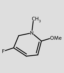 COC1=CC=C(F)CN1C